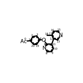 CC(=O)c1ccc(Oc2ncccc2-c2cnccc2C)cc1